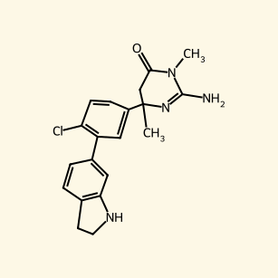 CN1C(=O)CC(C)(c2ccc(Cl)c(-c3ccc4c(c3)NCC4)c2)N=C1N